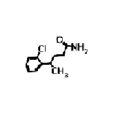 CC(CCC(N)=O)c1ccccc1Cl